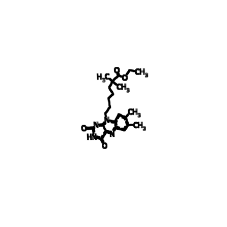 CCOC(=O)C(C)(C)CCCCCn1c2nc(=O)[nH]c(=O)c-2nc2cc(C)c(C)cc21